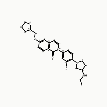 CCNC1CCN(c2ccc(-n3ccc4cc(OC[C@H]5CCCO5)ccc4c3=O)cc2F)C1